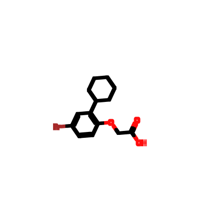 O=C(O)COc1ccc(Br)cc1C1CCCCC1